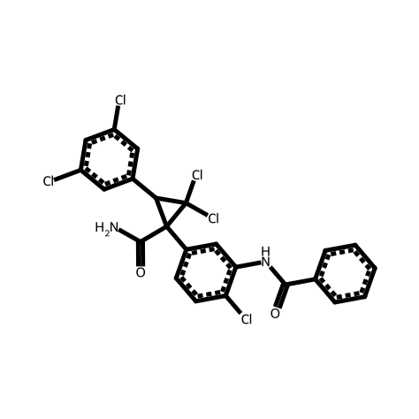 NC(=O)C1(c2ccc(Cl)c(NC(=O)c3ccccc3)c2)C(c2cc(Cl)cc(Cl)c2)C1(Cl)Cl